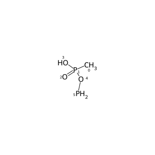 CP(=O)(O)OP